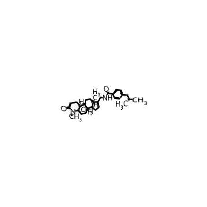 CC(C)Cc1ccc(C(=O)NCC2CC[C@H]3[C@@H]4CCC5N(C)C(=O)CC[C@]5(C)[C@@H]4CC[C@]23C)cc1